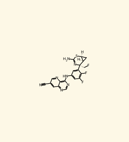 N#Cc1cnc2c(Nc3cc(F)c(F)c([C@@]4(CF)N=C(N)S[C@H]5C[C@H]54)c3)ncnc2c1